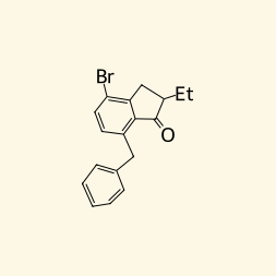 CCC1Cc2c(Br)ccc(Cc3ccccc3)c2C1=O